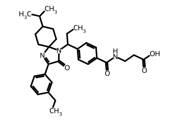 CCc1cccc(C2=NC3(CCC(C(C)C)CC3)N(C(CC)c3ccc(C(=O)NCCC(=O)O)cc3)C2=O)c1